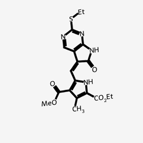 CCOC(=O)c1[nH]c(C=C2C(=O)Nc3nc(SCC)ncc32)c(C(=O)OC)c1C